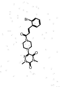 Cn1nc(N2CCN(C(=O)/C=C/c3ccccc3Br)CC2)c(=O)n(C)c1=O